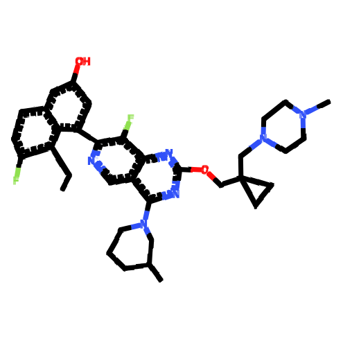 CCc1c(F)ccc2cc(O)cc(-c3ncc4c(N5CCCC(C)C5)nc(OCC5(CN6CCN(C)CC6)CC5)nc4c3F)c12